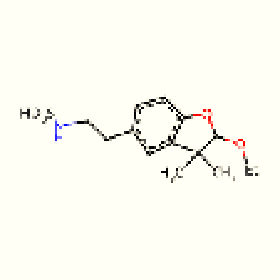 CCOC1Oc2ccc(CCNS(=O)(=O)O)cc2C1(C)C